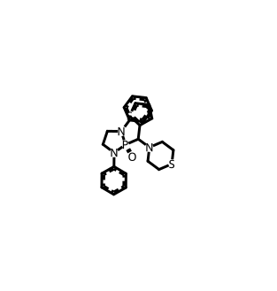 O=P1(C(c2cccs2)N2CCSCC2)N(c2ccccc2)CCN1c1ccccc1